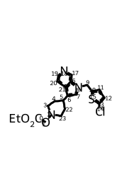 CCOC(=O)ON1CCC(c2cn(Cc3ccc(Cl)s3)c3cnccc23)CC1